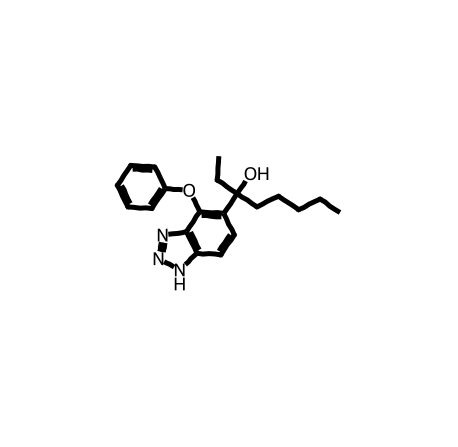 CCCCCC(O)(CC)c1ccc2[nH]nnc2c1Oc1ccccc1